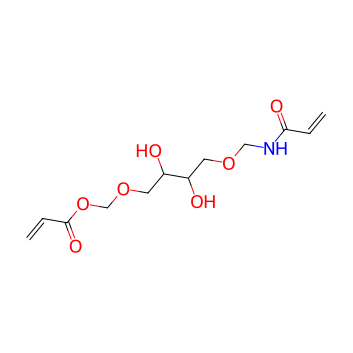 C=CC(=O)NCOCC(O)C(O)COCOC(=O)C=C